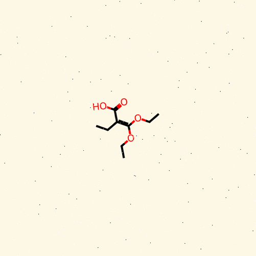 CCOC(OCC)=C(CC)C(=O)O